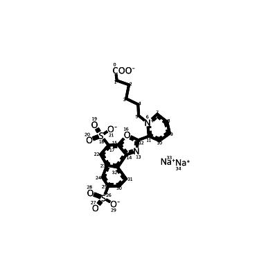 O=C([O-])CCCCC[n+]1ccccc1-c1nc2c(o1)c(S(=O)(=O)[O-])cc1cc(S(=O)(=O)[O-])ccc12.[Na+].[Na+]